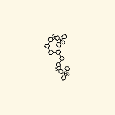 O=P(c1ccccc1)(c1ccccc1)c1ccc2sc3ccc(-c4cccc(-c5cccc(-c6cccc(-c7cccc(-c8ccc9sc%10ccc(P(=O)(c%11ccccc%11)c%11ccccc%11)cc%10c9c8)c7)c6)c5)c4)cc3c2c1